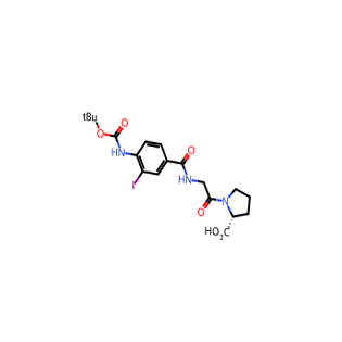 CC(C)(C)OC(=O)Nc1ccc(C(=O)NCC(=O)N2CCC[C@@H]2C(=O)O)cc1I